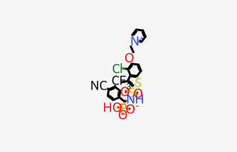 Cc1c(S(=O)(=O)NC(c2ccc(C#N)c(C(F)(F)F)c2)P(=O)([O-])O)sc2ccc(OCC[n+]3ccccc3)c(Cl)c12